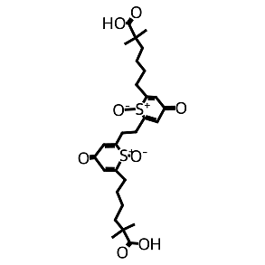 CC(C)(CCCCc1cc(=O)cc(CCc2cc(=O)cc(CCCCC(C)(C)C(=O)O)[s+]2[O-])[s+]1[O-])C(=O)O